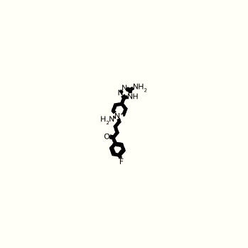 Nc1nnc(C2CC[N+](N)(CCCC(=O)c3ccc(F)cc3)CC2)[nH]1